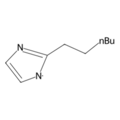 CCCCCCC1=NC=C[N]1